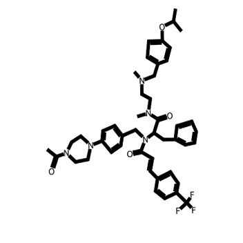 CC(=O)N1CCN(c2ccc(CN(C(=O)C=Cc3ccc(C(F)(F)F)cc3)C(Cc3ccccc3)C(=O)N(C)CCN(C)Cc3ccc(OC(C)C)cc3)cc2)CC1